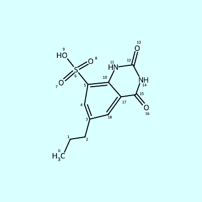 CCCc1cc(S(=O)(=O)O)c2[nH]c(=O)[nH]c(=O)c2c1